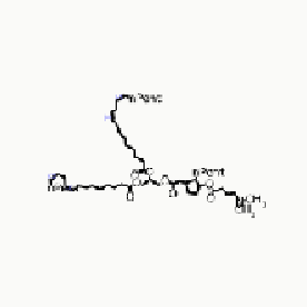 CCCCC/C=C\C/C=C\CCCCCCCC(=O)OCC(COC(=O)CC1CCC(OC(=O)CCCN(C)C)C1CCCCC)OC(=O)CCCCCCC/C=C\C/C=C\CCCCC